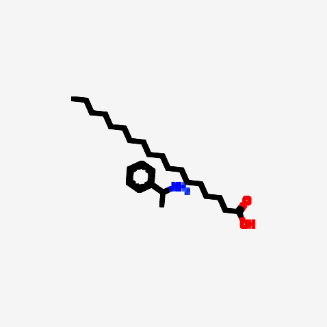 CC(N)c1ccccc1.CCCCCCCCCCCCCCCCCC(=O)O